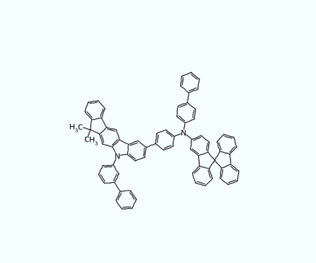 CC1(C)c2ccccc2-c2cc3c4cc(-c5ccc(N(c6ccc(-c7ccccc7)cc6)c6ccc7c(c6)-c6ccccc6C76c7ccccc7-c7ccccc76)cc5)ccc4n(-c4cccc(-c5ccccc5)c4)c3cc21